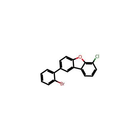 Clc1cccc2c1oc1ccc(-c3ccccc3Br)cc12